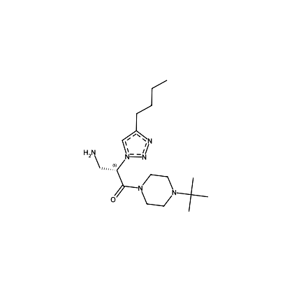 CCCCc1cn([C@@H](CN)C(=O)N2CCN(C(C)(C)C)CC2)nn1